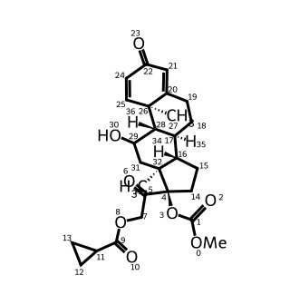 COC(=O)O[C@]1(C(=O)COC(=O)C2CC2)CC[C@H]2[C@@H]3CCC4=CC(=O)C=C[C@]4(C)[C@H]3C(O)C[C@@]21C